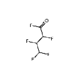 O=C(F)C(F)C(F)C(F)F